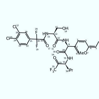 C=C(/C=C\C(=C/C)OC)[C@H](NC(=O)[C@H](CO)NC(=O)C(F)(F)c1ccc(Cl)c(Cl)c1)C(=O)N[C@H](C(=O)C(F)(F)F)C(C)C